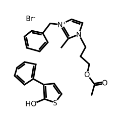 CC(=O)OCCCn1cc[n+](Cc2ccccc2)c1C.Oc1sccc1-c1ccccc1.[Br-]